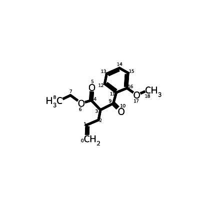 C=CCC(C(=O)OCC)C(=O)c1ccccc1OC